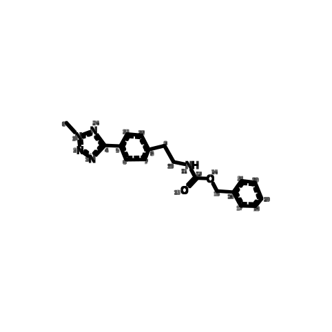 Cn1nnc(-c2ccc(CCNC(=O)OCc3ccccc3)cc2)n1